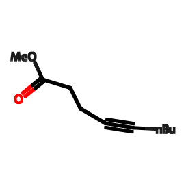 [CH2]CCCC#CCCC(=O)OC